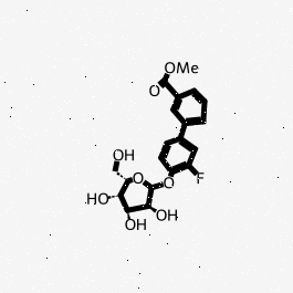 COC(=O)c1cccc(-c2ccc(OC3O[C@@H](CO)[C@@H](O)[C@@H](O)[C@@H]3O)c(F)c2)c1